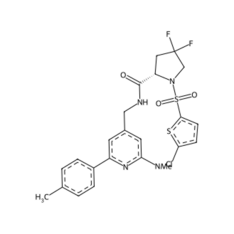 CNc1cc(CNC(=O)[C@@H]2CC(F)(F)CN2S(=O)(=O)c2ccc(Cl)s2)cc(-c2ccc(C)cc2)n1